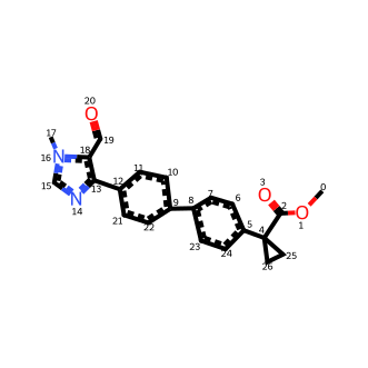 COC(=O)C1(c2ccc(-c3ccc(-c4ncn(C)c4C=O)cc3)cc2)CC1